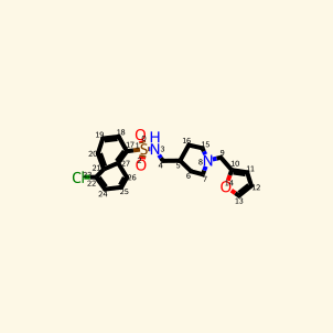 O=S(=O)(NCC1CCN(Cc2ccco2)CC1)c1cccc2c(Cl)cccc12